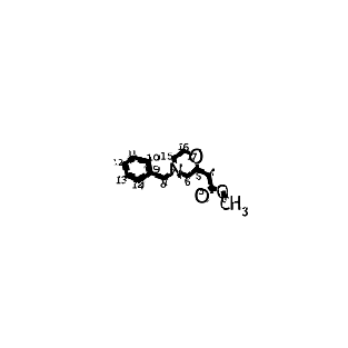 COC(=O)CC1CN(Cc2ccccc2)CCO1